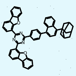 c1ccc2c(c1)oc1c(-c3nc(-c4ccc(-c5ccc(C67CC8CC(CC(C8)C6)C7)c6ccccc56)cc4)nc(-c4cccc5c4oc4ccccc45)n3)cccc12